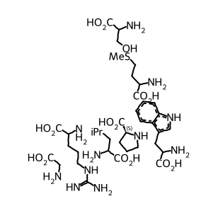 CC(C)CC(N)C(=O)O.CSCCC(N)C(=O)O.N=C(N)NCCCC(N)C(=O)O.NC(CO)C(=O)O.NC(Cc1c[nH]c2ccccc12)C(=O)O.NCC(=O)O.O=C(O)[C@@H]1CCCN1